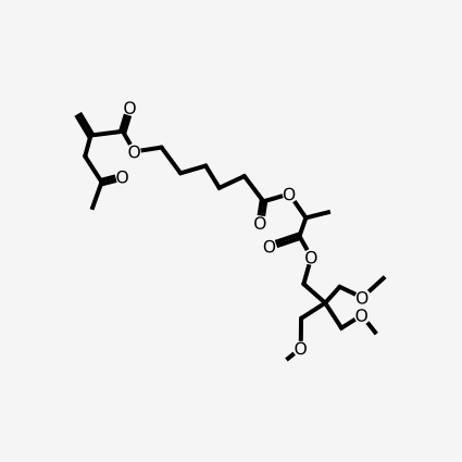 C=C(CC(C)=O)C(=O)OCCCCCC(=O)OC(C)C(=O)OCC(COC)(COC)COC